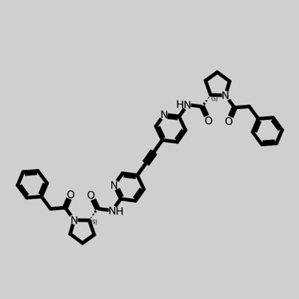 O=C(Nc1ccc(C#Cc2ccc(NC(=O)[C@@H]3CCCN3C(=O)Cc3ccccc3)nc2)cn1)[C@@H]1CCCN1C(=O)Cc1ccccc1